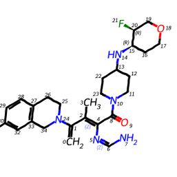 C=C(/C(C)=C(\N=C/N)C(=O)N1CCC(N[C@@H]2CCOC[C@@H]2F)CC1)N1CCc2ccc(Br)cc2C1